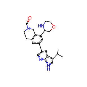 CC(C)c1c[nH]c2ncc(-c3cc4c(c(C5COCCN5)c3)CN(C=O)CC4)cc12